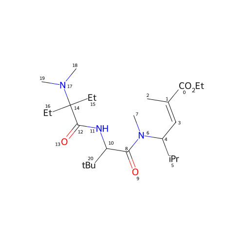 CCOC(=O)/C(C)=C/C(C(C)C)N(C)C(=O)C(NC(=O)C(CC)(CC)N(C)C)C(C)(C)C